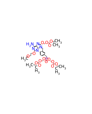 COCCOc1nc(N)c2nc(OCOC(=O)OC(C)C)n(Cc3cccc(CP(=O)(OCOC(=O)OC(C)C)OCOC(=O)OC(C)C)c3)c2n1